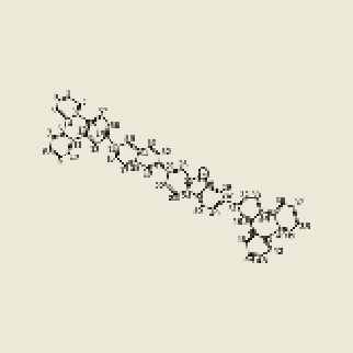 c1ccc2c(c1)c1ccccc1c1cc(-c3ccc4cc(-c5ccc6c(c5)oc5cc(-c7ccc8c9ccccc9c9ccccc9c8c7)ccc56)ccc4c3)ccc21